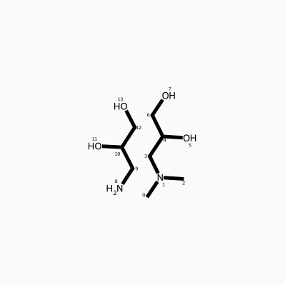 CN(C)CC(O)CO.NCC(O)CO